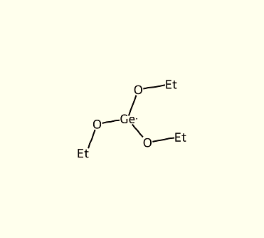 CC[O][Ge]([O]CC)[O]CC